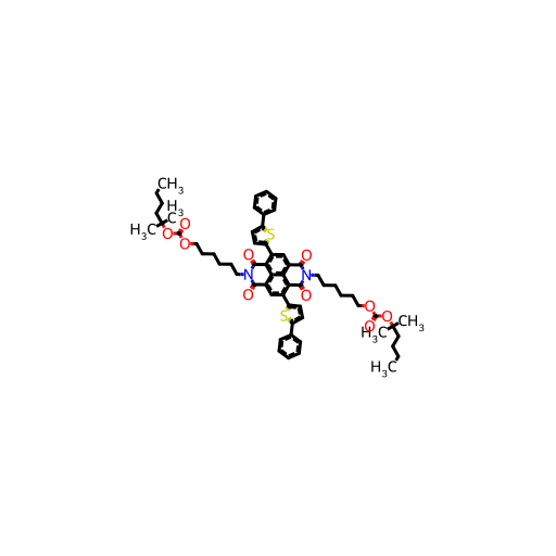 CCCCC(C)(C)OC(=O)OCCCCCCN1C(=O)c2cc(-c3ccc(-c4ccccc4)s3)c3c4c(cc(-c5ccc(-c6ccccc6)s5)c(c24)C1=O)C(=O)N(CCCCCCOC(=O)OC(C)(C)CCCC)C3=O